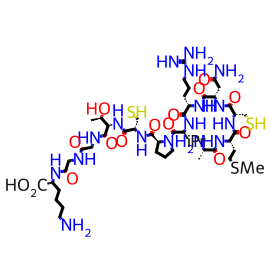 CSCC[C@H](NC(=O)[C@H](C)N)C(=O)N[C@@H](CS)C(=O)N[C@@H](CC(N)=O)C(=O)N[C@@H](CCCNC(=N)N)C(=O)N[C@H](C(=O)N1CCC[C@H]1C(=O)N[C@@H](CS)C(=O)N[C@H](C(=O)NCC(=O)NCC(=O)N[C@@H](CCCCN)C(=O)O)[C@@H](C)O)C(C)C